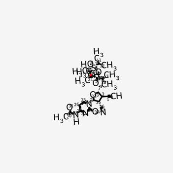 C#CC1[C@@H](CO[Si](O[Si](O)(C(C)C)C(C)C)(C(C)C)C(C)C)O[C@@H](n2ccc(NC(C)=O)nc2=O)[C@H]1C#N